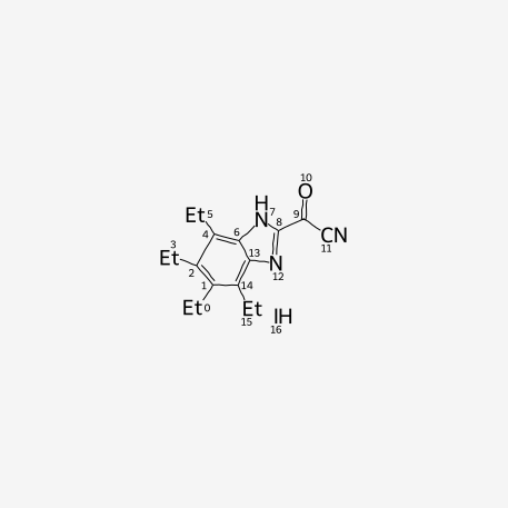 CCc1c(CC)c(CC)c2[nH]c(C(=O)C#N)nc2c1CC.I